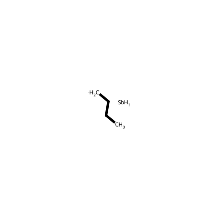 [CH2]CCC.[SbH3]